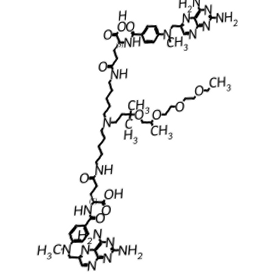 CCOCCOCCOC(C)COC(C)(C)CCN(CCCCCNC(=O)CC[C@H](NC(=O)c1ccc(N(C)Cc2cnc3nc(N)nc(N)c3n2)cc1)C(=O)O)CCCCCNC(=O)CC[C@H](NC(=O)c1ccc(N(C)Cc2cnc3nc(N)nc(N)c3n2)cc1)C(=O)O